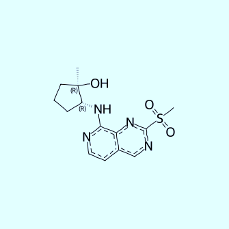 C[C@@]1(O)CCC[C@H]1Nc1nccc2cnc(S(C)(=O)=O)nc12